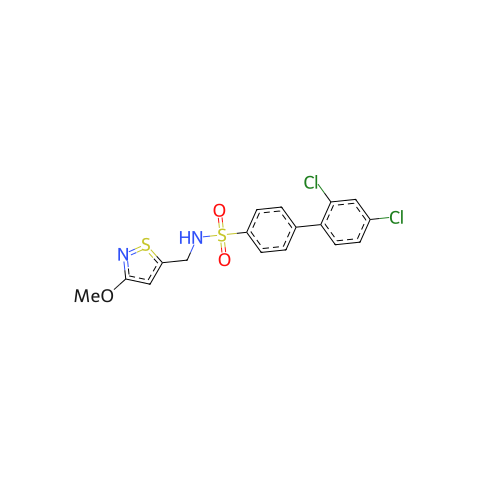 COc1cc(CNS(=O)(=O)c2ccc(-c3ccc(Cl)cc3Cl)cc2)sn1